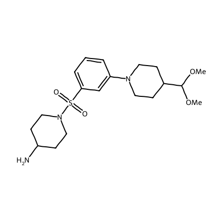 COC(OC)C1CCN(c2cccc(S(=O)(=O)N3CCC(N)CC3)c2)CC1